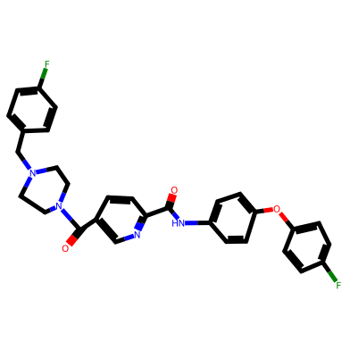 O=C(Nc1ccc(Oc2ccc(F)cc2)cc1)c1ccc(C(=O)N2CCN(Cc3ccc(F)cc3)CC2)cn1